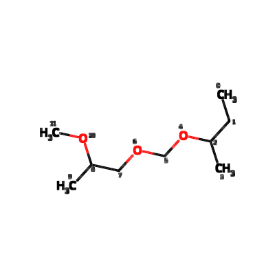 CCC(C)OCOCC(C)OC